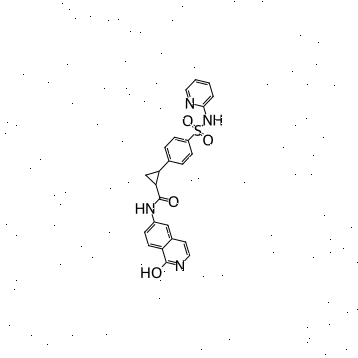 O=C(Nc1ccc2c(O)nccc2c1)C1CC1c1ccc(S(=O)(=O)Nc2ccccn2)cc1